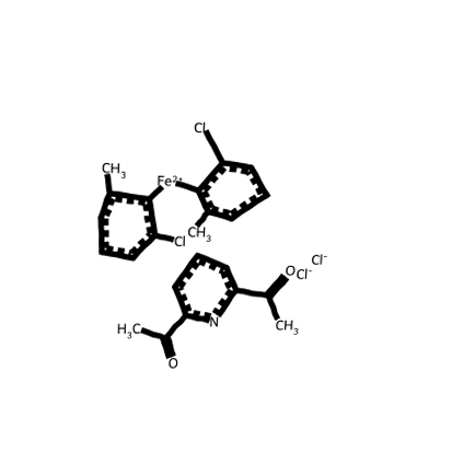 CC(=O)c1cccc(C(C)=O)n1.Cc1cccc(Cl)[c]1[Fe+2][c]1c(C)cccc1Cl.[Cl-].[Cl-]